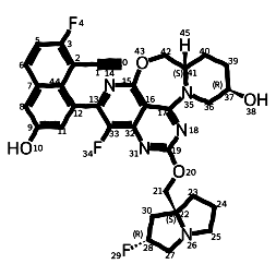 C#Cc1c(F)ccc2cc(O)cc(-c3nc4c5c(nc(OC[C@@]67CCCN6C[C@H](F)C7)nc5c3F)N3C[C@H](O)CC[C@H]3CO4)c12